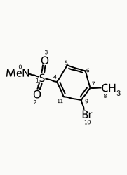 CNS(=O)(=O)c1ccc(C)c(Br)c1